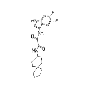 O=C(Nc1c[nH]c2cc(F)c(F)cc12)C(=O)NC1CCC2(CCCC2)CC1